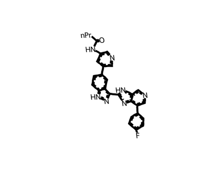 CCCC(=O)Nc1cncc(-c2ccc3[nH]nc(-c4nc5c(-c6ccc(F)cc6)cncc5[nH]4)c3c2)c1